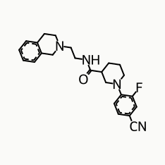 N#Cc1ccc(N2CCCC(C(=O)NCCN3CCc4ccccc4C3)C2)c(F)c1